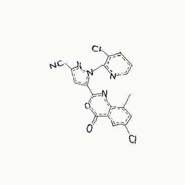 Cc1cc(Cl)cc2c(=O)oc(-c3cc(C#N)nn3-c3ncccc3Cl)nc12